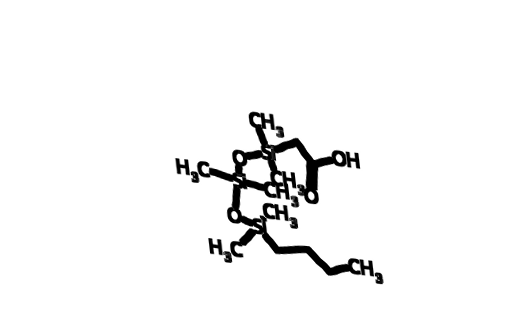 CCCC[Si](C)(C)O[Si](C)(C)O[Si](C)(C)CC(=O)O